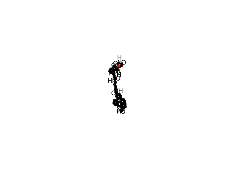 CNC(=O)c1cnc2ccc(-c3ccc(C(=O)NCCCCNC(=O)CNc4nccc5c4C(=O)N(C4CCC(=O)NC4=O)C5=O)cc3)cc2c1Nc1ccccc1